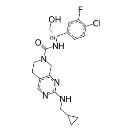 O=C(N[C@H](CO)c1ccc(Cl)c(F)c1)N1CCc2cnc(NCC3CC3)nc2C1